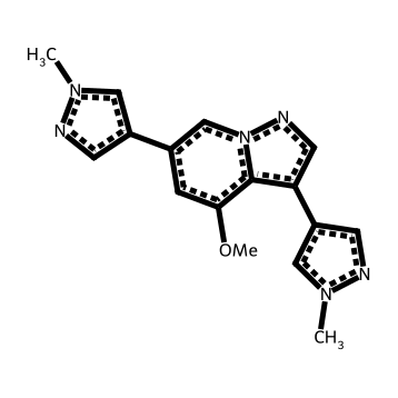 COc1cc(-c2cnn(C)c2)cn2ncc(-c3cnn(C)c3)c12